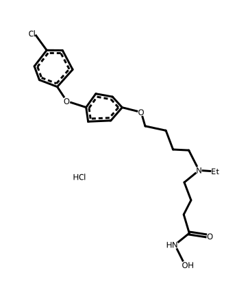 CCN(CCCCOc1ccc(Oc2ccc(Cl)cc2)cc1)CCCC(=O)NO.Cl